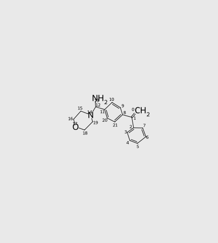 C=C(c1ccccc1)c1ccc(C(N)N2CCOCC2)cc1